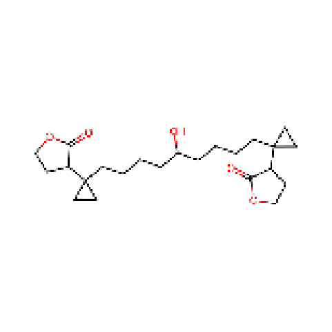 O=C1OCCC1C1(CCCCC(O)CCCCC2(C3CCOC3=O)CC2)CC1